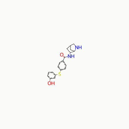 O=C(NC1CC2CNC1C2)c1ccc(Sc2cccc(O)c2)cc1